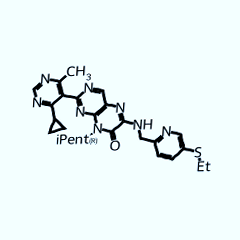 CCC[C@@H](C)n1c(=O)c(NCc2ccc(SCC)cn2)nc2cnc(-c3c(C)ncnc3C3CC3)nc21